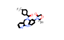 CC(C)[C@H]1OCC(=O)N1c1ccc2c(c1)N(C(=O)C1CCC(C(F)(F)F)CC1)Cc1cccnc1N2